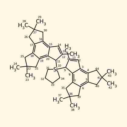 CC1=Cc2c3c(c4c(c2C1[Si]1(C2C(C)=Cc5c6c(c7c(c52)CC(C)(C)C7)CC(C)(C)C6)CCCC1)CC(C)(C)C4)CC(C)(C)C3